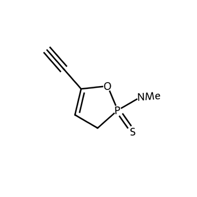 C#CC1=CCP(=S)(NC)O1